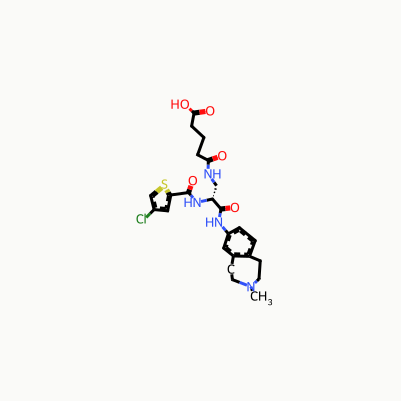 CN1CCc2ccc(NC(=O)[C@@H](CNC(=O)CCCC(=O)O)NC(=O)c3cc(Cl)cs3)cc2CC1